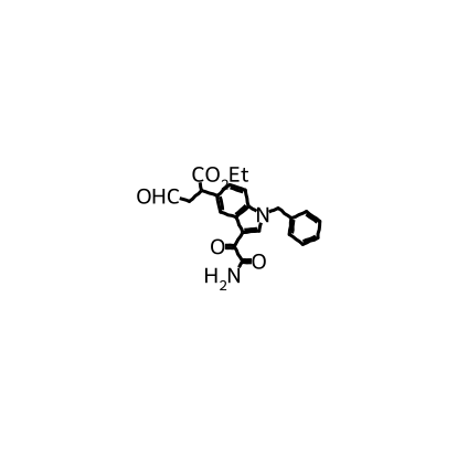 CCOC(=O)C(CC=O)c1ccc2c(c1)c(C(=O)C(N)=O)cn2Cc1ccccc1